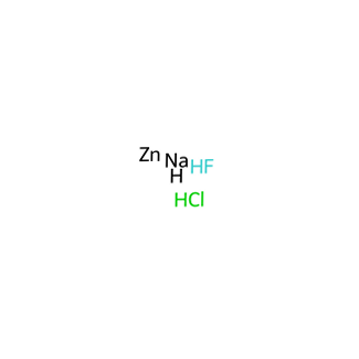 Cl.F.[NaH].[Zn]